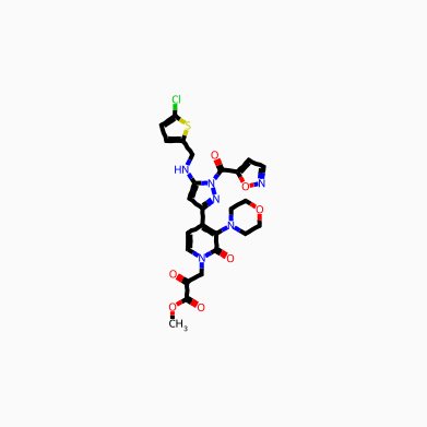 COC(=O)C(=O)Cn1ccc(-c2cc(NCc3ccc(Cl)s3)n(C(=O)c3ccno3)n2)c(N2CCOCC2)c1=O